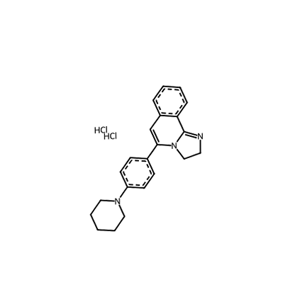 C1=C(c2ccc(N3CCCCC3)cc2)N2CCN=C2c2ccccc21.Cl.Cl